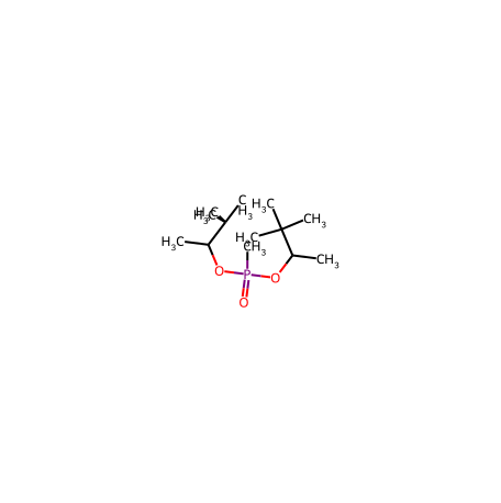 CC(OP(C)(=O)OC(C)C(C)(C)C)C(C)(C)C